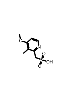 COc1ccnc(CS(=O)(=O)O)c1C